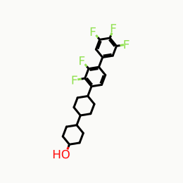 OC1CCC(C2CCC(c3ccc(-c4cc(F)c(F)c(F)c4)c(F)c3F)CC2)CC1